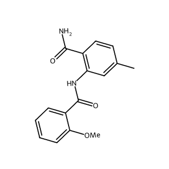 COc1ccccc1C(=O)Nc1cc(C)ccc1C(N)=O